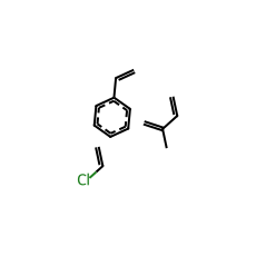 C=CC(=C)C.C=CCl.C=Cc1ccccc1